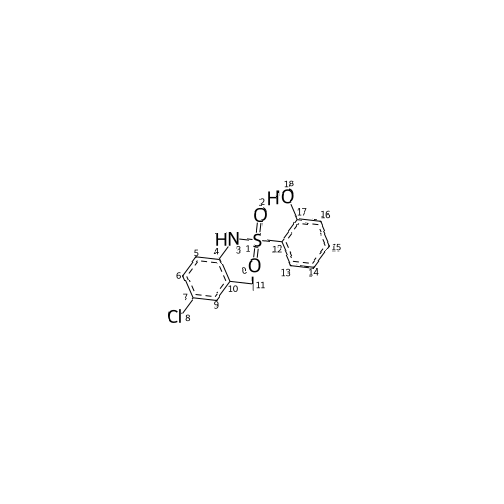 O=S(=O)(Nc1ccc(Cl)cc1I)c1ccccc1O